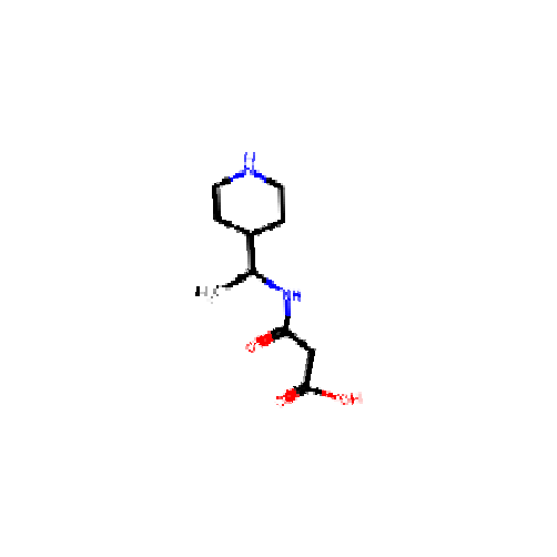 CC(NC(=O)CC(=O)O)C1CCNCC1